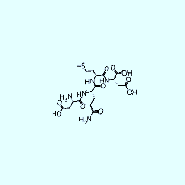 CSCC[C@H](NC(=O)[C@H](CCC(N)=O)NC(=O)[C@@H](N)CC(=O)O)C(=O)N[C@@H](CC(=O)O)C(=O)O